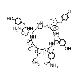 C[C@@H](O)[C@@H]1NC(=O)[C@H](CCCCN)NC(=O)[C@@H](Cc2ccc(C(N)=O)cc2)NC(=O)[C@H](Cc2ccc(O)cc2)NC(=O)[C@@H](NC(=O)[C@@H](N)Cc2ccc(Cl)cc2)Cc2cn(nn2)C[C@@H](C(=O)N[C@H](Cc2ccc(O)cc2)C(N)=O)NC1=O